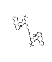 CC(C)(C)c1cc(CSCCSCc2cc(C(C)(C)C)cc(-c3c4ccccc4cc4ccccc34)c2O)c(O)c(-c2c3ccccc3cc3ccccc23)c1